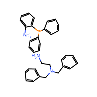 NCCN(Cc1ccccc1)Cc1ccccc1.Nc1ccccc1P(c1ccccc1)c1ccccc1